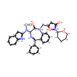 O=CN(c1cc2ccccc2[nH]1)C1N=C(c2ccccc2)c2ccccc2N(Cc2cc(=O)n(C3CCCCO3)o2)C1=O